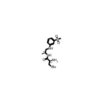 C[C@@H](CNc1cccc(S(C)(=O)=O)c1)NC(=O)[C@@H](N)CC(C)(C)C